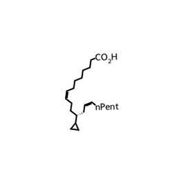 CCCCC/C=C\C[C@@H](CC/C=C\CCCCCCC(=O)O)C1CC1